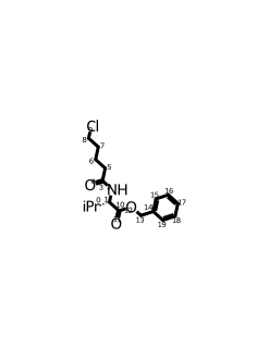 CC(C)[C@H](NC(=O)CCCCCl)C(=O)OCc1ccccc1